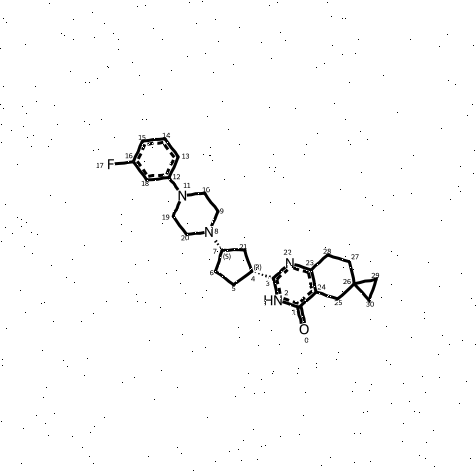 O=c1[nH]c([C@@H]2CC[C@H](N3CCN(c4cccc(F)c4)CC3)C2)nc2c1CC1(CC2)CC1